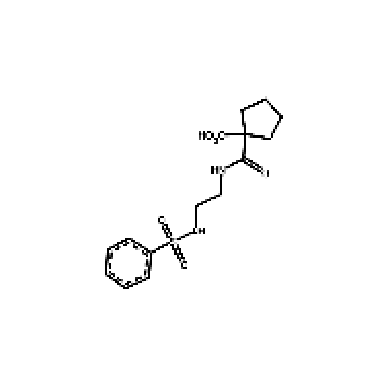 O=C(O)C1(C(=O)NCCNS(=O)(=O)c2ccccc2)CCCC1